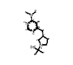 CCC(C)(C)N1CCC(Cc2cc(N(C)C)ncn2)C1